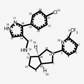 FC(F)(F)c1cccc(N2C[C@H]3CC[C@H](NCc4c[nH]nc4-c4ccc(Cl)cc4)[C@H]3C2)n1